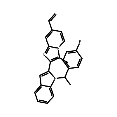 C=Cc1ccn2c(C)c(-c3cc4ccccc4n3C(C)c3ccc(F)cc3)nc2c1